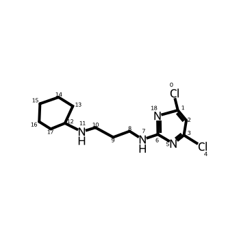 Clc1cc(Cl)nc(NCCCNC2CCCCC2)n1